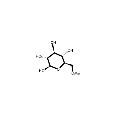 COC[C@H]1O[C@@H](O)[C@H](O)[C@@H](O)[C@@H]1O